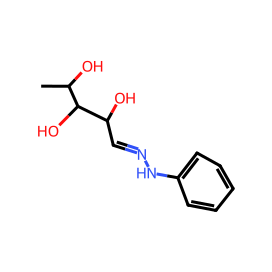 CC(O)C(O)C(O)C=NNc1ccccc1